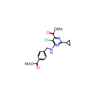 COC(=O)c1ccc(CNc2nc(C3CC3)nc(C(=O)OC)c2Cl)cc1